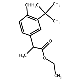 CCOC(=O)C(C)c1ccc(O)c(C(C)(C)C)c1